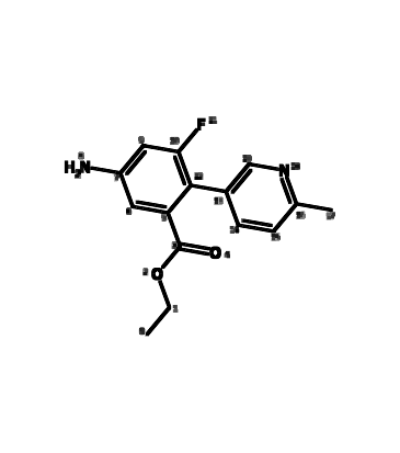 CCOC(=O)c1cc(N)cc(F)c1-c1ccc(C)nc1